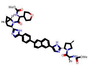 COC(=O)N[C@H](C(=O)N1C[C@H](C)C[C@H]1c1ncc(-c2ccc3cc(-c4ccc(-c5cnc([C@@H]6C[C@H]7C[C@H]7N6C(=O)[C@@H](NC(=O)OC)C6CCOCC6)[nH]5)cc4)ccc3c2)[nH]1)C(C)C